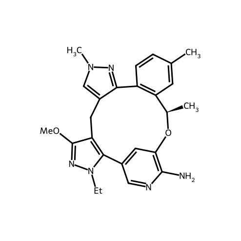 CCn1nc(OC)c2c1-c1cnc(N)c(c1)O[C@H](C)c1cc(C)ccc1-c1nn(C)cc1C2